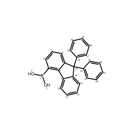 OB(O)c1cccc2c1-c1ccccc1C2(c1ccccc1)c1ccccc1